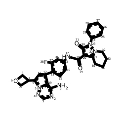 Nc1ncnn2c(C3COC3)cc(-c3ccc(NC(=O)c4c5n(n(-c6ccccc6)c4=O)CCCC5)cc3F)c12